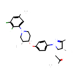 COC(=O)C[C@H]1[C@H](C)C(C(F)(F)F)=NN1c1ccc(O[C@@H]2CCN(c3cc(OC)cc(F)c3F)C[C@@H]2C)cc1